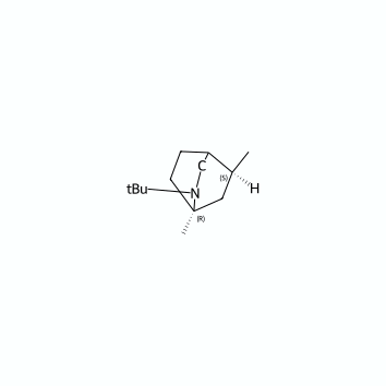 C[C@H]1C[C@@]2(C)CCC1CN2C(C)(C)C